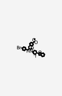 COC(=O)c1ccc(CC(Cc2ccc(Br)cc2)C(=O)NC2=C[C@@H](I)C(c3cc4ccccc4o3)C=C2)cc1